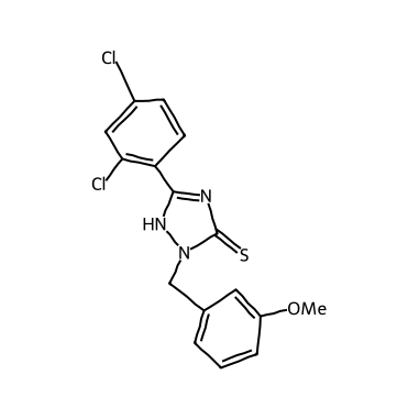 COc1cccc(Cn2[nH]c(-c3ccc(Cl)cc3Cl)nc2=S)c1